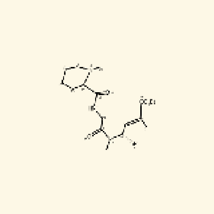 CCOC(=O)/C(C)=C/[C@H](C(C)C)N(C)C(=O)CNC(=O)C1CCCCN1C